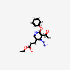 CCOC(=O)CCC1C=NC(Oc2ccccc2)=C(C(C)=O)C1=[N+]=[N-]